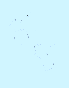 Cc1c(-c2cnc(O[C@H](C)C(F)(F)F)c(F)c2)ncc2nnc(C(F)(F)F)n12